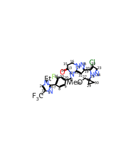 CCn1cc(C(F)(F)F)nc1-c1ccc(CN2C(=O)CCn3nc(-c4c(Cl)cnn4C4(COC)CC4)cc32)cc1F